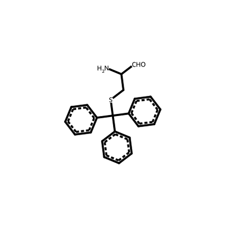 NC(C=O)CSC(c1ccccc1)(c1ccccc1)c1ccccc1